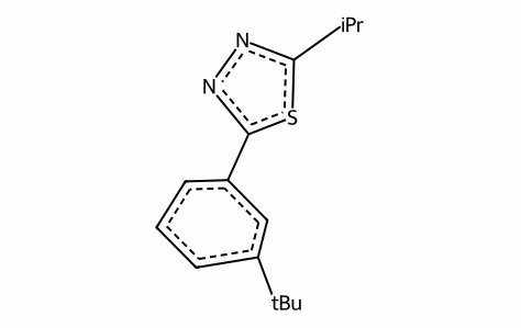 CC(C)c1nnc(-c2cccc(C(C)(C)C)c2)s1